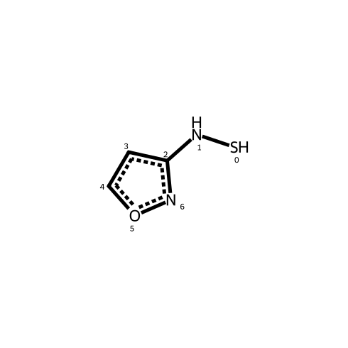 SNc1ccon1